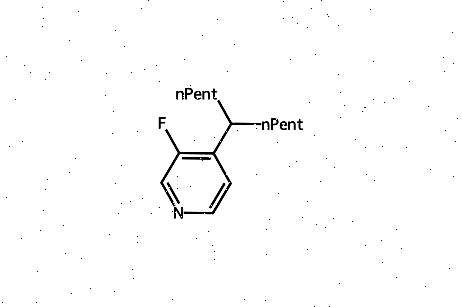 CCCCCC(CCCCC)c1ccncc1F